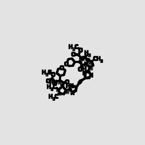 COC(=O)N[C@H](C(=O)N1[C@H](C)[C@H](C)C[C@H]1c1ncc(C#Cc2cnc([C@@H]3C[C@@H](C)[C@@H](C)N3C(=O)[C@@H](NC(=O)OC)C3CCOCC3)[nH]2)[nH]1)C1CCOCC1